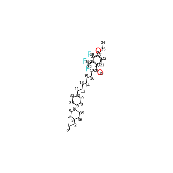 CCCC1CCC(C2CCC(CCCCCCCC(=O)c3ccc(OCC)c(F)c3C(F)F)CC2)CC1